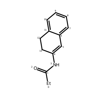 CCC(=O)NC1=Cc2ccccc2CC1